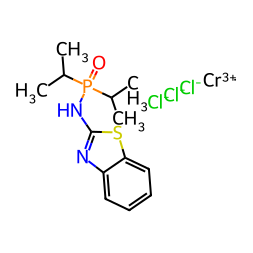 CC(C)P(=O)(Nc1nc2ccccc2s1)C(C)C.[Cl-].[Cl-].[Cl-].[Cr+3]